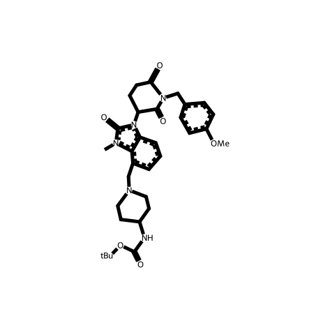 COc1ccc(CN2C(=O)CCC(n3c(=O)n(C)c4c(CN5CCC(NC(=O)OC(C)(C)C)CC5)cccc43)C2=O)cc1